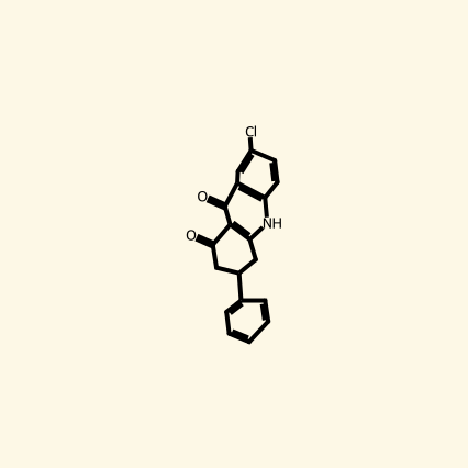 O=C1CC(c2ccccc2)Cc2[nH]c3ccc(Cl)cc3c(=O)c21